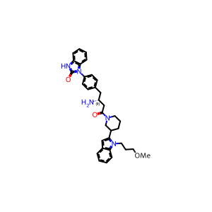 COCCCn1c(C2CCCN(C(=O)C[C@H](N)Cc3ccc(-n4c(=O)[nH]c5ccccc54)cc3)C2)cc2ccccc21